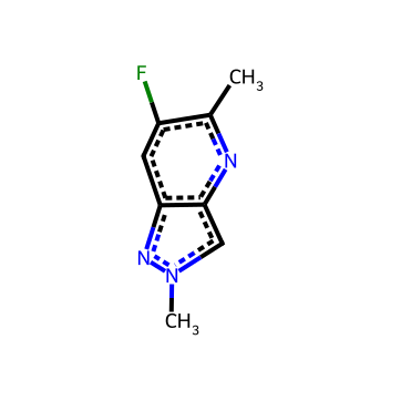 Cc1nc2cn(C)nc2cc1F